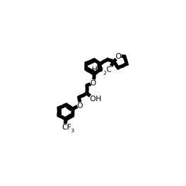 O=C(O)C1(Cc2cccc(OCC(O)COc3cccc(C(F)(F)F)c3)c2)CCCO1